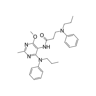 CCCN(CCC(=O)Nc1c(OC)nc(C)nc1N(CCC)c1ccccc1)c1ccccc1